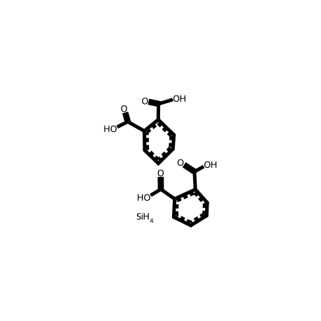 O=C(O)c1ccccc1C(=O)O.O=C(O)c1ccccc1C(=O)O.[SiH4]